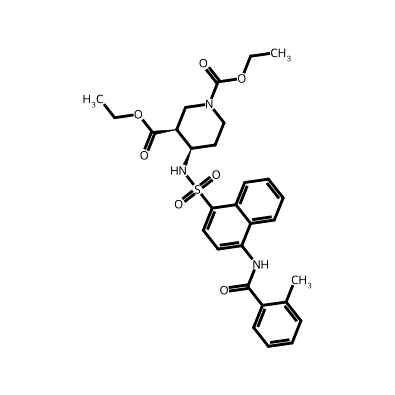 CCOC(=O)[C@H]1CN(C(=O)OCC)CC[C@H]1NS(=O)(=O)c1ccc(NC(=O)c2ccccc2C)c2ccccc12